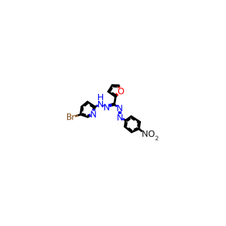 O=[N+]([O-])c1ccc(N=NC(=NNc2ccc(Br)cn2)c2ccco2)cc1